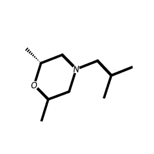 CC(C)CN1CC(C)O[C@H](C)C1